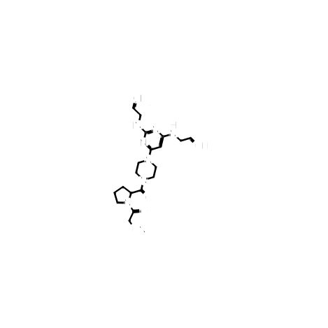 C=CCNc1cc(N2CCN(C(=O)C3CCCN3C(=O)CC#N)CC2)nc(NCC=C)n1